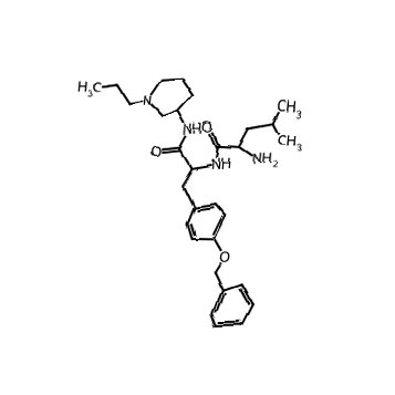 CCCN1CCCC(NC(=O)C(Cc2ccc(OCc3ccccc3)cc2)NC(=O)C(N)CC(C)C)C1